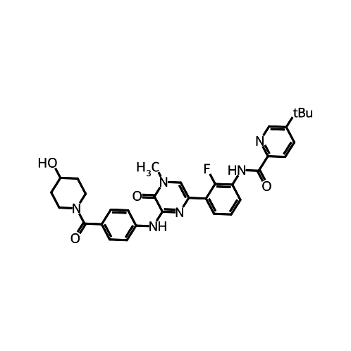 Cn1cc(-c2cccc(NC(=O)c3ccc(C(C)(C)C)cn3)c2F)nc(Nc2ccc(C(=O)N3CCC(O)CC3)cc2)c1=O